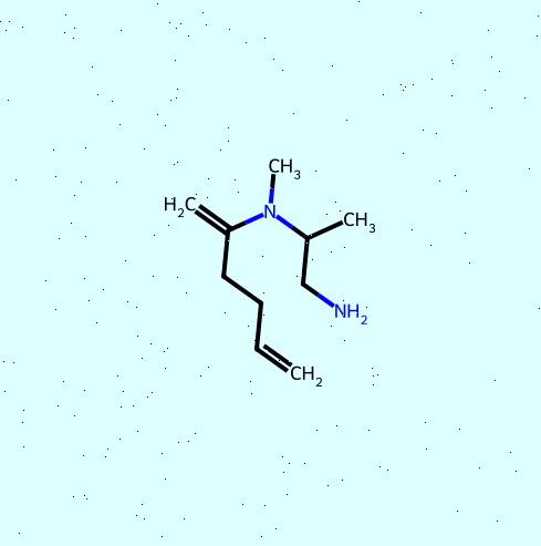 C=CCCC(=C)N(C)C(C)CN